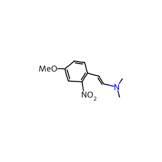 COc1ccc(C=CN(C)C)c([N+](=O)[O-])c1